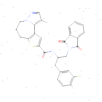 O=C(NC(Cc1ccc(F)c(F)c1)CN1C(=O)c2ccccc2C1=O)c1cc2c(s1)CCCn1ncc(Cl)c1-2